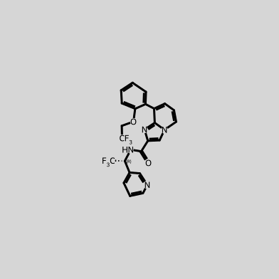 O=C(N[C@H](c1cccnc1)C(F)(F)F)c1cn2cccc(-c3ccccc3OCC(F)(F)F)c2n1